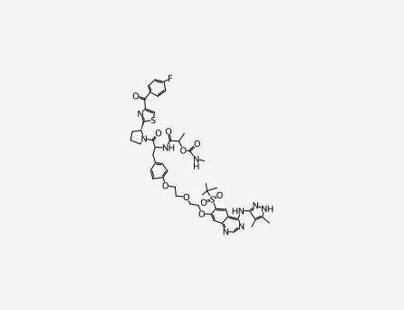 CNC(=O)OC(C)C(=O)NC(Cc1ccc(OCCOCCOc2cc3ncnc(Nc4n[nH]c(C)c4C)c3cc2S(=O)(=O)C(C)(C)C)cc1)C(=O)N1CCC[C@H]1c1nc(C(=O)c2ccc(F)cc2)cs1